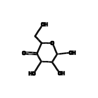 O=C1C(CO)OC(O)C(O)C1O